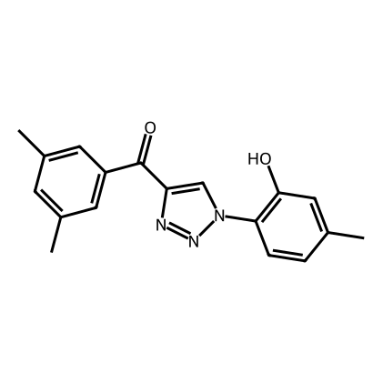 Cc1cc(C)cc(C(=O)c2cn(-c3ccc(C)cc3O)nn2)c1